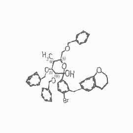 C[C@H]1[C@H](OCc2ccccc2)[C@@H](OCc2ccccc2)C(O)(c2ccc(Br)c(Cc3ccc4c(c3)CCCO4)c2)O[C@@H]1COCc1ccccc1